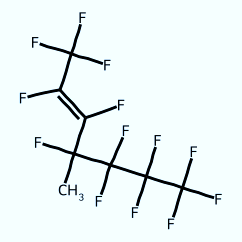 CC(F)(C(F)=C(F)C(F)(F)F)C(F)(F)C(F)(F)C(F)(F)F